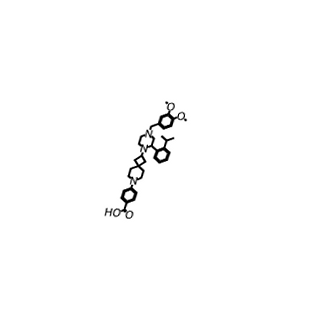 COc1ccc(CN2CCN(C3CC4(CCN(c5ccc(C(=O)O)cc5)CC4)C3)C(c3ccccc3C(C)C)C2)cc1OC